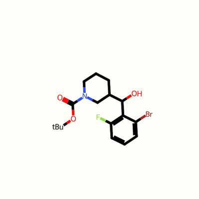 CC(C)(C)OC(=O)N1CCCC(C(O)c2c(F)cccc2Br)C1